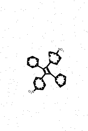 O=[N+]([O-])c1ccc(C2=C(c3ccccc3)C(c3ccc([N+](=O)[O-])cc3)=C2c2ccccc2)cc1